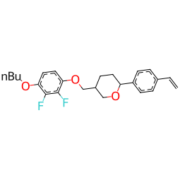 C=Cc1ccc(C2CCC(COc3ccc(OCCCC)c(F)c3F)CO2)cc1